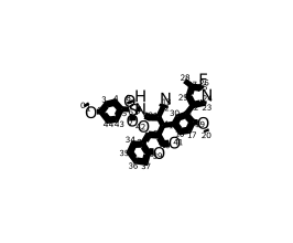 COc1ccc(S(=O)(=O)NC2=C(C#N)C(c3ccc(OC)c(-c4cnc(F)c(C)c4)c3)c3c(c4ccccc4oc3=O)O2)cc1